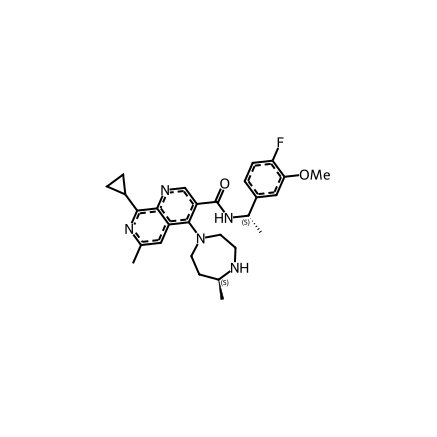 COc1cc([C@H](C)NC(=O)c2cnc3c(C4CC4)nc(C)cc3c2N2CCN[C@@H](C)CC2)ccc1F